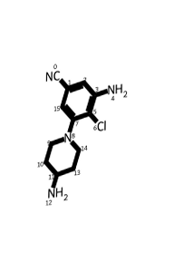 N#Cc1cc(N)c(Cl)c(N2CCC(N)CC2)c1